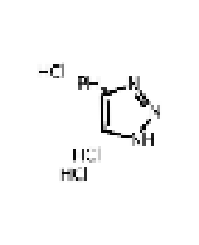 Cl.Cl.Cl.P.c1c[nH]nn1